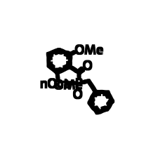 CCCCCCCCP(=O)(Cc1ccccc1)C(=O)c1c(OC)cccc1OC